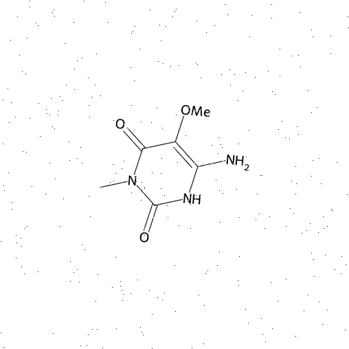 COc1c(N)[nH]c(=O)n(C)c1=O